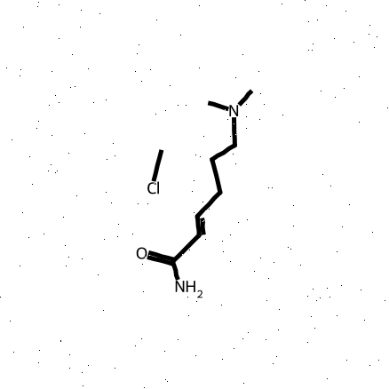 CCl.CN(C)CCCC=CC(N)=O